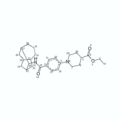 CCOC(=O)C1CCN(c2ccc(C(=O)NC3C4CCCC5CC3CC5C4)cc2)CC1